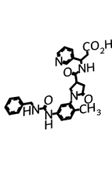 Cc1ccc(NC(=O)NCc2ccccc2)cc1N1CC(C(=O)NC(CC(=O)O)c2cccnc2)CC1=O